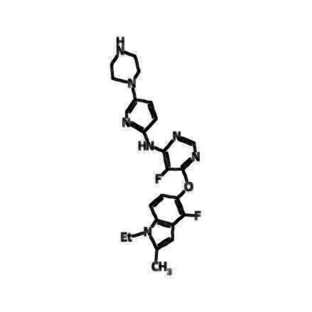 CCn1c(C)cc2c(F)c(Oc3ncnc(Nc4ccc(N5CCNCC5)cn4)c3F)ccc21